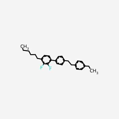 CCCCCCc1ccc(-c2ccc(CCc3ccc(CC)cc3)cc2)c(F)c1F